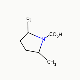 CCC1CCC(C)N1C(=O)O